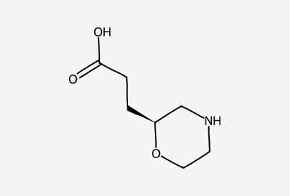 O=C(O)CC[C@H]1CNCCO1